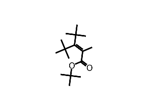 CC(C(=O)OC(C)(C)C)=C(C(C)(C)C)C(C)(C)C